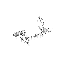 COc1cc2c(cc1-c1c(C)noc1C)ncc1c2n([C@H](C)c2ccccn2)c(=O)n1C(CCOCCOCCC(C(N)=O)n1c(=O)n([C@H](C)c2ccccn2)c2c3cc(OC)c(-c4c(C)noc4C)cc3ncc21)C(N)=O